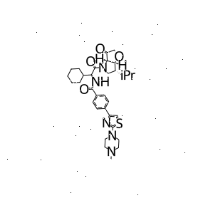 CC(C)[C@@H]1CN(C(=O)[C@@H](NC(=O)c2ccc(-c3csc(N4CCN(C)CC4)n3)cc2)C2CCCCC2)[C@@H]2C(=O)CO[C@@H]21